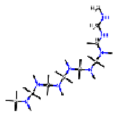 CN([SiH](C)N[SiH2]N[SiH3])[Si](C)(C)N(C)[Si](C)(C)N(C)[Si](C)(C)N(C)[Si](C)(C)N(C)[Si](C)(C)N(C)[Si](C)(C)C